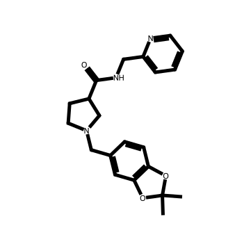 CC1(C)Oc2ccc(CN3CCC(C(=O)NCc4ccccn4)C3)cc2O1